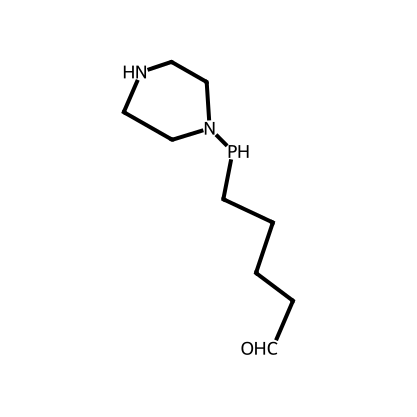 O=CCCCCPN1CCNCC1